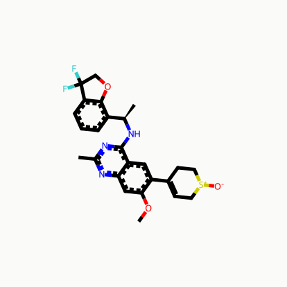 COc1cc2nc(C)nc(N[C@H](C)c3cccc4c3OCC4(F)F)c2cc1C1=CC[S+]([O-])CC1